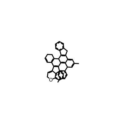 CC1=CC(c2ccc(C)cc2)C2=C3C4=C(C5=CCOc6cccc4c65)C4=C(CCC=C4)C3C3=C(Cc4ccccc43)C2=C1